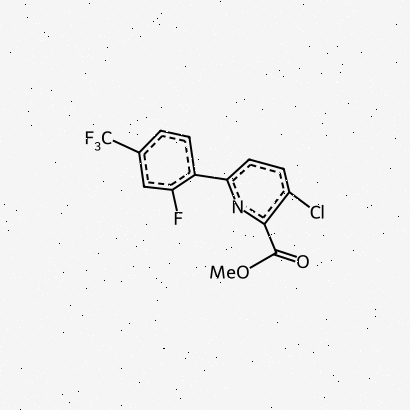 COC(=O)c1nc(-c2ccc(C(F)(F)F)cc2F)ccc1Cl